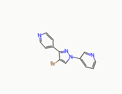 Brc1cn(-c2cccnc2)nc1-c1ccncc1